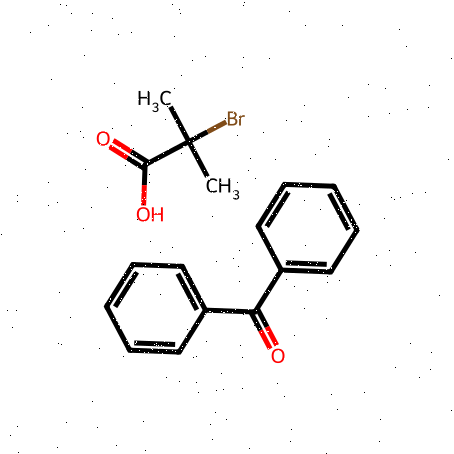 CC(C)(Br)C(=O)O.O=C(c1ccccc1)c1ccccc1